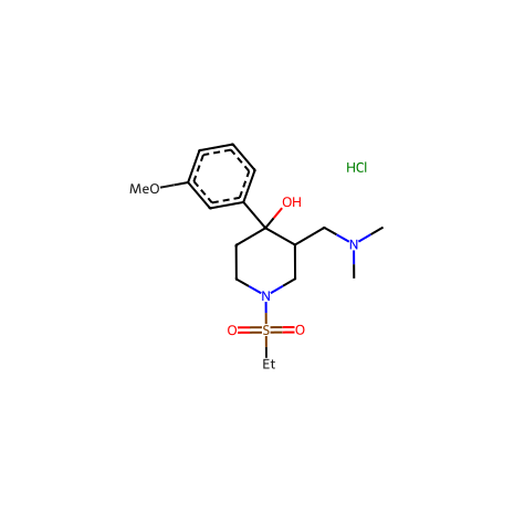 CCS(=O)(=O)N1CCC(O)(c2cccc(OC)c2)C(CN(C)C)C1.Cl